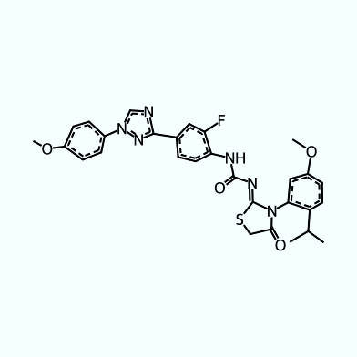 COc1ccc(-n2cnc(-c3ccc(NC(=O)/N=C4\SCC(=O)N4c4cc(OC)ccc4C(C)C)c(F)c3)n2)cc1